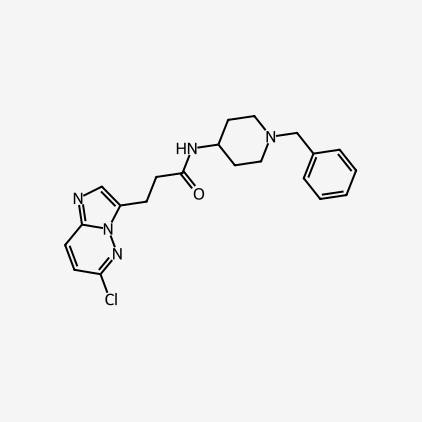 O=C(CCc1cnc2ccc(Cl)nn12)NC1CCN(Cc2ccccc2)CC1